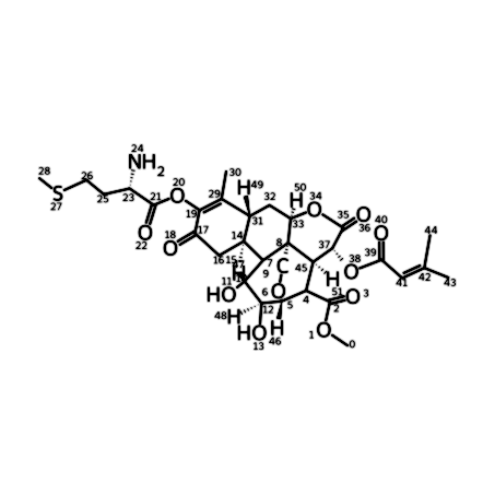 COC(=O)C1[C@H]2OC[C@]34C([C@@H](O)[C@@H]2O)[C@@]2(C)CC(=O)C(OC(=O)[C@@H](N)CCSC)=C(C)[C@@H]2C[C@H]3OC(=O)[C@H](OC(=O)C=C(C)C)[C@@H]14